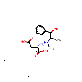 CNC(C)C(O)c1ccccc1.N[C@@H](CC(=O)O)C(=O)O